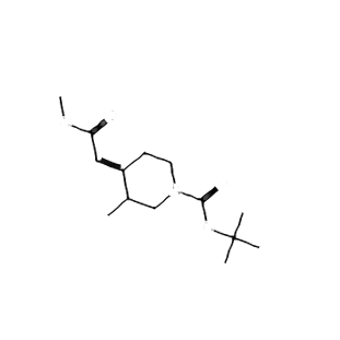 COC(=O)C=C1CCN(C(=O)OC(C)(C)C)CC1C